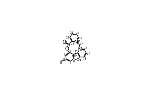 O=C1Oc2cc(F)cc(F)c2-c2cccc[n+]2C[n+]2ccccc21